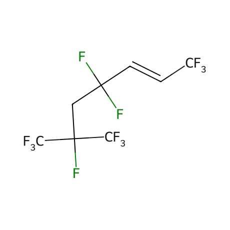 FC(F)(F)C=CC(F)(F)CC(F)(C(F)(F)F)C(F)(F)F